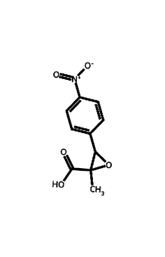 CC1(C(=O)O)OC1c1ccc([N+](=O)[O-])cc1